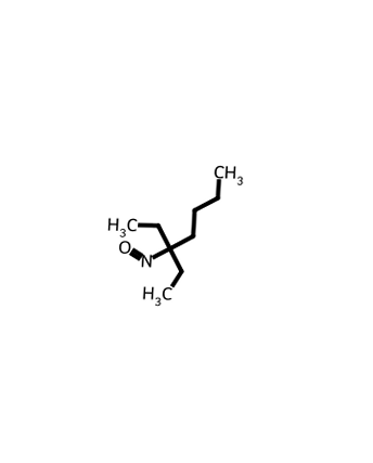 CCCCC(CC)(CC)N=O